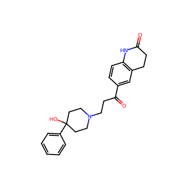 O=C1CCc2cc(C(=O)CCN3CCC(O)(c4ccccc4)CC3)ccc2N1